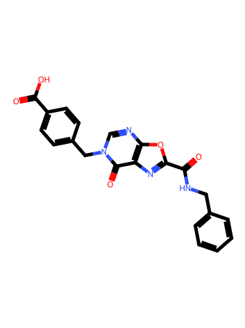 O=C(O)c1ccc(Cn2cnc3oc(C(=O)NCc4ccccc4)nc3c2=O)cc1